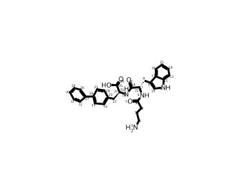 NCCCC(=O)N[C@@H](Cc1c[nH]c2ccccc12)C(=O)N[C@@H](Cc1ccc(-c2ccccc2)cc1)C(=O)O